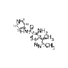 Cc1nnc2sc(C(=O)Nc3ccncc3)c(N)c2c1C